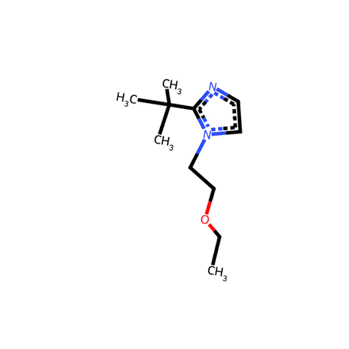 CCOCCn1ccnc1C(C)(C)C